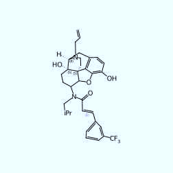 C=CCN1CC[C@]23c4c5ccc(O)c4OC2C(N(CC(C)C)C(=O)/C=C/c2cccc(C(F)(F)F)c2)CC[C@@]3(O)[C@H]1C5